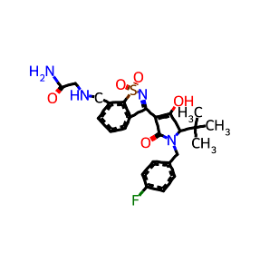 CC(C)(C)C1C(O)=C(C2=NS(=O)(=O)c3c(CNCC(N)=O)cccc32)C(=O)N1Cc1ccc(F)cc1